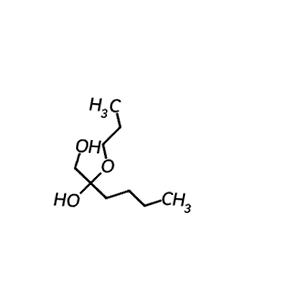 CCCCC(O)(CO)OCCC